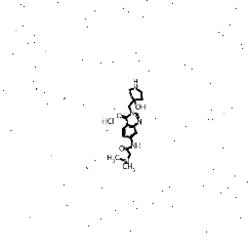 CN(C)CC(=O)Nc1ccc2c(=O)n(CC3(O)CCNCC3)cnc2c1.Cl